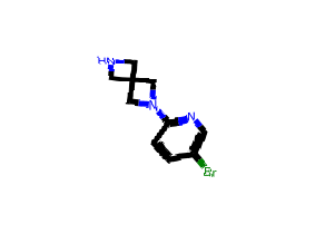 Brc1ccc(N2CC3(CNC3)C2)nc1